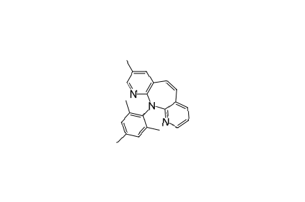 Cc1cc(C)c(N2c3ncccc3C=Cc3cc(C)cnc32)c(C)c1